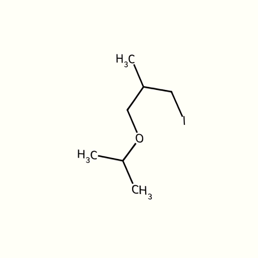 CC(CI)COC(C)C